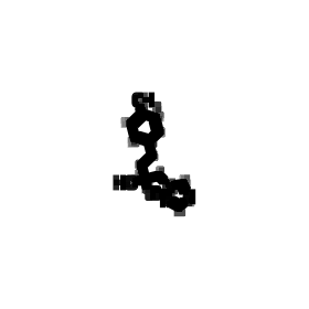 Cc1ccc(CCC(O)(Cn2cncn2)C(C)(C)C)cc1